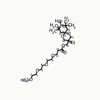 CCCCOCCOCCOCCOCCC(=O)OCC1(CC)COC2(CC(C)(C)N(O)C(C)(C)C2)OC1